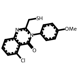 COc1ccc(-n2c(CS)nc3cccc(Cl)c3c2=O)cc1